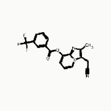 Cc1nc2c(OC(=O)c3cccc(C(F)(F)F)c3)cccn2c1CC#N